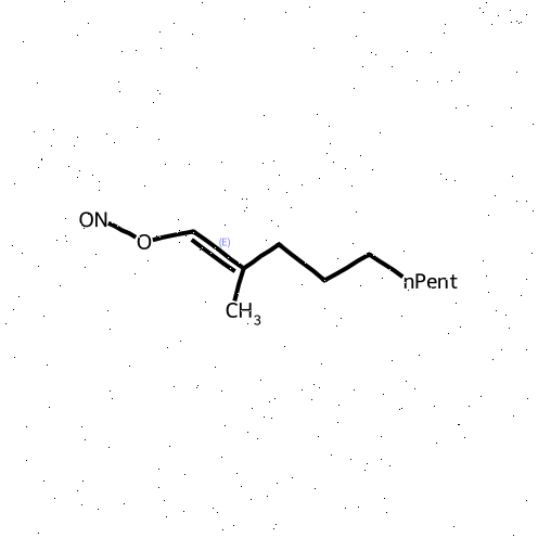 CCCCCCCC/C(C)=C/ON=O